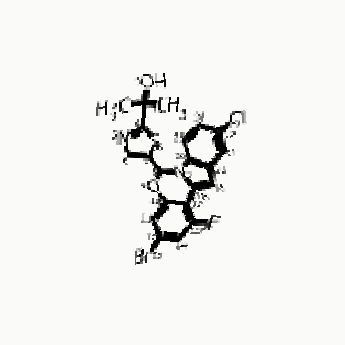 CC(C)(O)c1ncc(C2Oc3cc(Br)cc(F)c3-c3cc4cc(Cl)ccc4n32)s1